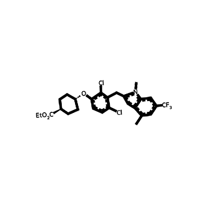 CCOC(=O)[C@H]1CC[C@H](Oc2ccc(Cl)c(Cc3cc4c(C)cc(C(F)(F)F)cc4n3C)c2Cl)CC1